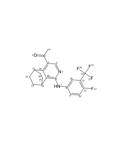 CC(=O)c1cnc(Nc2ccc(F)c(C(F)(F)F)c2)c2c1C1CCC2CC1